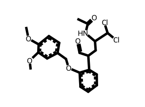 COc1ccc(COc2ccccc2C(C=O)CC(NC(C)=O)C(Cl)Cl)cc1OC